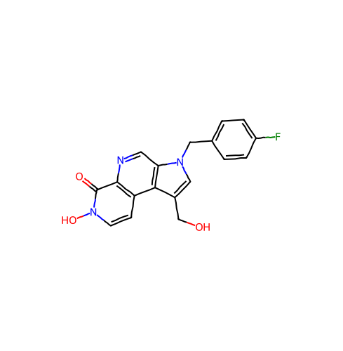 O=c1c2ncc3c(c(CO)cn3Cc3ccc(F)cc3)c2ccn1O